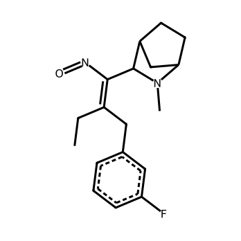 CC/C(Cc1cccc(F)c1)=C(\N=O)C1C2CCC(C2)N1C